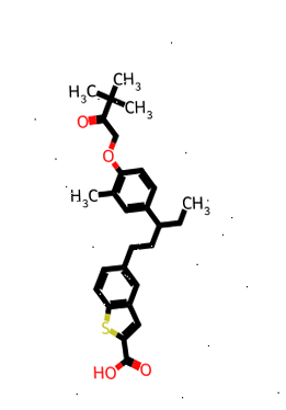 CCC(CCc1ccc2sc(C(=O)O)cc2c1)c1ccc(OCC(=O)C(C)(C)C)c(C)c1